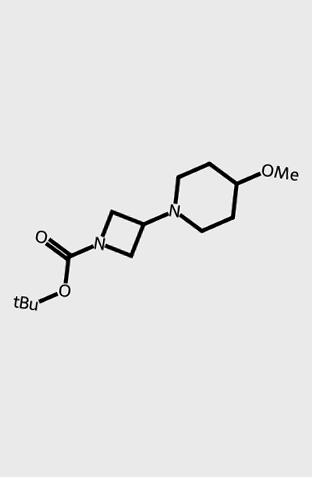 COC1CCN(C2CN(C(=O)OC(C)(C)C)C2)CC1